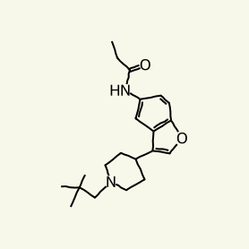 CCC(=O)Nc1ccc2occ(C3CCN(CC(C)(C)C)CC3)c2c1